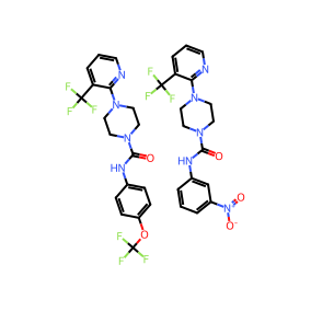 O=C(Nc1ccc(OC(F)(F)F)cc1)N1CCN(c2ncccc2C(F)(F)F)CC1.O=C(Nc1cccc([N+](=O)[O-])c1)N1CCN(c2ncccc2C(F)(F)F)CC1